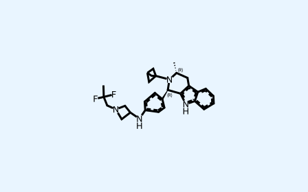 C[C@@H]1Cc2c([nH]c3ccccc23)[C@@H](c2ccc(NC3CN(CC(C)(F)F)C3)cc2)N1C12CC(C1)C2